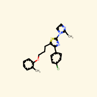 Cc1ccccc1OCCCc1sc(-n2ccnc2C)nc1-c1ccc(Cl)cc1